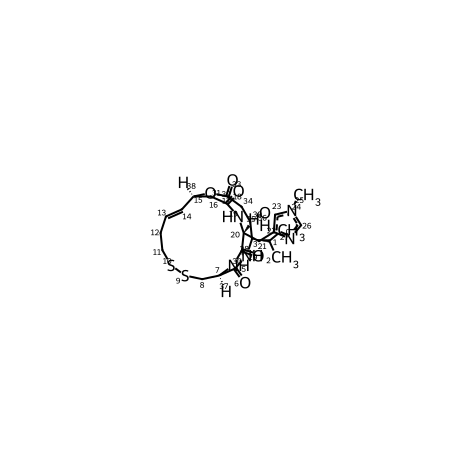 CC(C)[C@H]1NC(=O)[C@H]2CSSCC/C=C/[C@H](CC(=O)N[C@H](Cc3cn(C)cn3)C(=O)N2)OC(=O)C[C@@H]1O